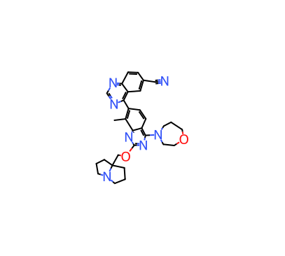 Cc1c(-c2ncnc3ccc(C#N)cc23)ccc2c(N3CCCOCC3)nc(OCC34CCCN3CCC4)nc12